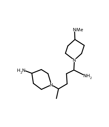 CNC1CCN(C(N)CCC(C)N2CCC(N)CC2)CC1